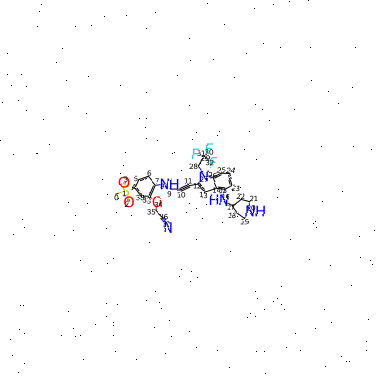 CS(=O)(=O)c1ccc(NCC#Cc2cc3c(NC4CCNCC4)cccc3n2CC(F)(F)F)c(OCC#N)c1